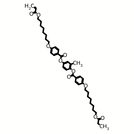 C=CC(=O)OCCCCCCCCOc1ccc(C(=O)Oc2ccc(OC(=O)c3ccc(OCCCCCCCCOC(=O)CC)cc3)c(C)c2)cc1